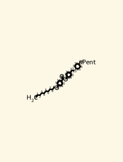 C=CCCCCCCCCOc1ccc(C(=O)Oc2ccc(CC[C@H]3CC[C@H](CCCCC)CC3)cc2)cc1